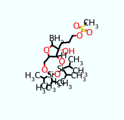 BC1OC2CO[Si](C(C)C)(C(C)C)O[Si](C(C)C)(C(C)C)O[C@H]2[C@]1(O)CCCOS(C)(=O)=O